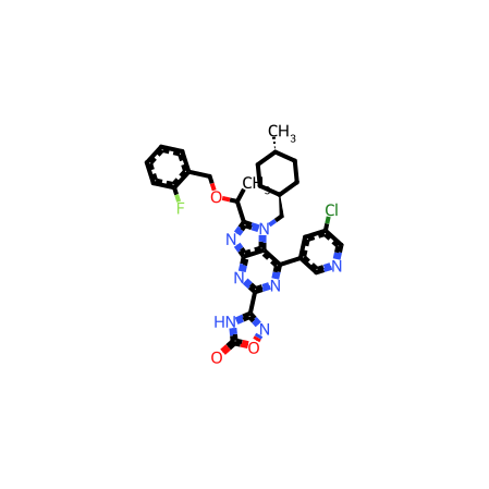 CC(OCc1ccccc1F)c1nc2nc(-c3noc(=O)[nH]3)nc(-c3cncc(Cl)c3)c2n1C[C@H]1CC[C@H](C)CC1